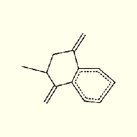 C=C1CC(C)C(=C)c2ccccc21